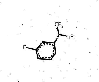 CCCC(c1cccc(F)c1)C(F)(F)F